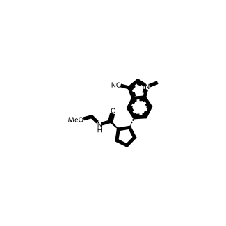 COCNC(=O)[C@@H]1CCC[C@H]1c1ccc2c(c1)c(C#N)cn2C